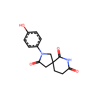 O=C1CCC2(CC(=O)N(c3ccc(O)cc3)C2)C(=O)N1